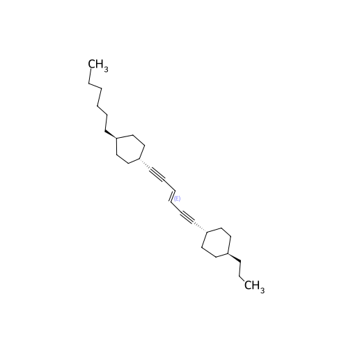 CCCCCC[C@H]1CC[C@H](C#C/C=C/C#C[C@H]2CC[C@H](CCC)CC2)CC1